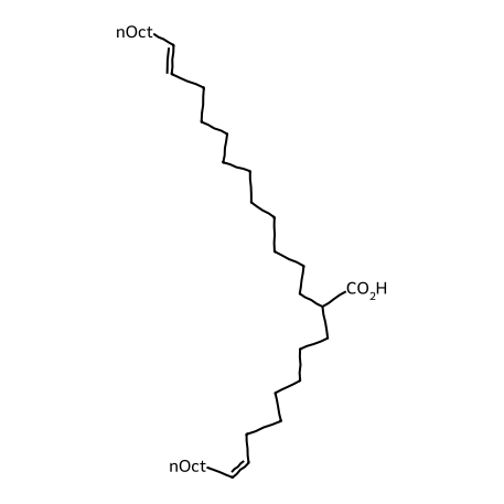 CCCCCCCCC=CCCCCCCCCCCC(CCCCCC/C=C\CCCCCCCC)C(=O)O